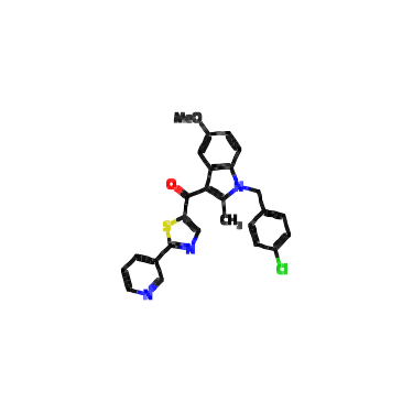 COc1ccc2c(c1)c(C(=O)c1cnc(-c3cccnc3)s1)c(C)n2Cc1ccc(Cl)cc1